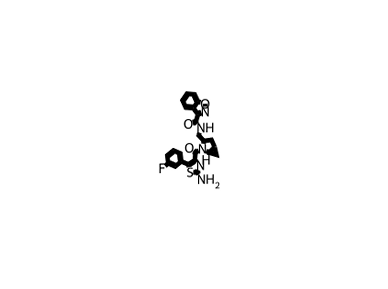 Nc1nc(C(=O)N2C(CNC(=O)c3noc4ccccc34)CC3C[C@@H]32)c(-c2cccc(F)c2)s1